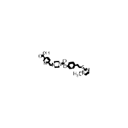 Cn1ccnc1SCCc1ccc(OC(=O)N2CCN(Cc3ccc(C(=O)O)cn3)CC2)cc1